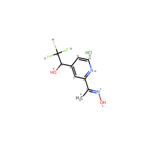 CC(=NO)c1cc(C(O)C(F)(F)F)ccn1.Cl